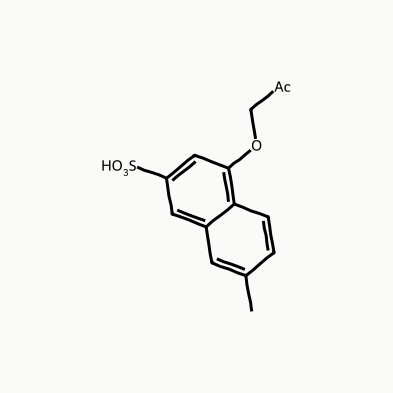 CC(=O)COc1cc(S(=O)(=O)O)cc2cc(C)ccc12